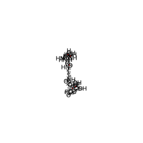 C=C1N[C@H]2[C@H](COC(=O)NCCCCCCNC(=O)c3ccc(-c4c5cc(F)c(=O)cc-5oc5cc(O)c(F)cc45)c(C(=O)O)c3)NC(=N)N3CCC(O)(O)[C@]23N1